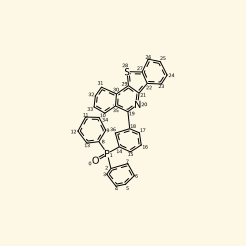 O=P(c1ccccc1)(c1ccccc1)c1cccc(-c2nc3c4ccccc4sc3c3ccccc23)c1